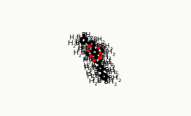 Bc1c(B)c(B)c(-c2c(B)c(B)c(-c3c(B)c(B)c(-c4c5c(B)c(B)c(B)c(B)c5c(-c5c(B)c(B)c6oc7c(B)c(B)c(B)c(B)c7c6c5B)c5c(B)c(B)c(B)c(B)c45)c(B)c3B)c(B)c2B)c(B)c1B